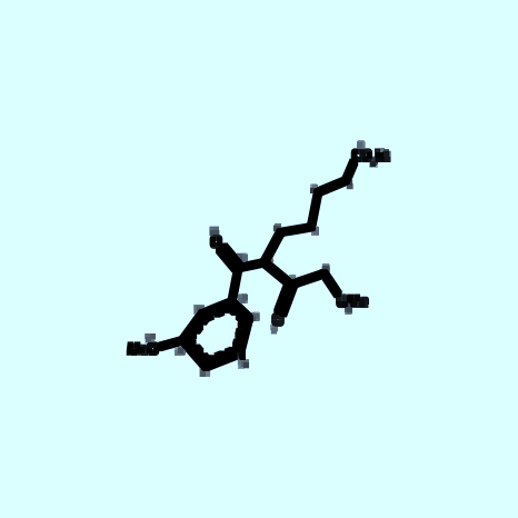 CCOC(=O)CCCCC(C(=O)COC)C(=O)c1cncc(OC)c1